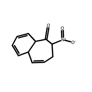 O=C1C2C=CC=CC2C=CCC1[N+](=O)[O-]